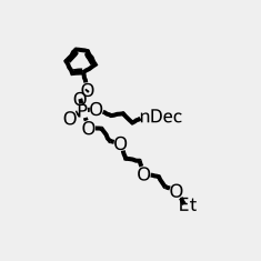 CCCCCCCCCCCCCOP(=O)(OCCOCCOCCOCC)OOc1ccccc1